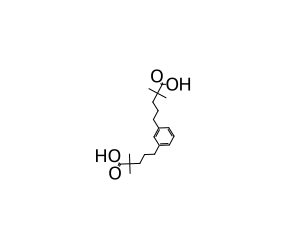 CC(C)(CCCc1cccc(CCCC(C)(C)C(=O)O)c1)C(=O)O